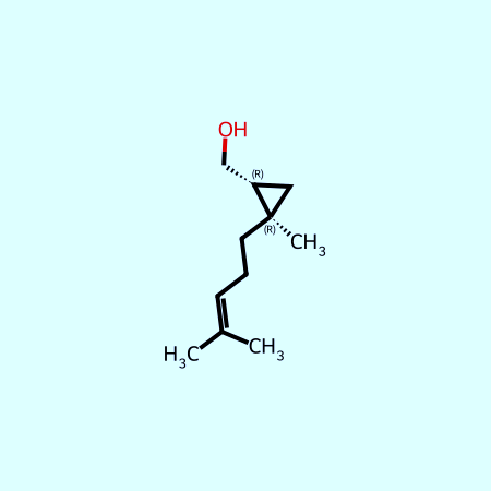 CC(C)=CCC[C@]1(C)C[C@H]1CO